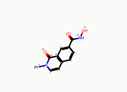 CC(C)n1ccc2ccc(C(=O)NO)cc2c1=O